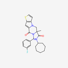 CC1(C(=O)NC2CCCCCC2)Cn2c(cc3sccc32)C(=O)N1Cc1cccc(F)c1